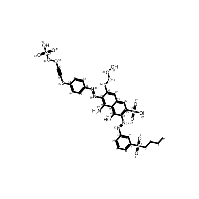 CCCCS(=O)(=O)c1cccc(N=Nc2c(S(=O)(=O)O)cc3cc(SOOO)c(N=Nc4ccc(SC#COOS(=O)(=O)O)cc4)c(N)c3c2O)c1